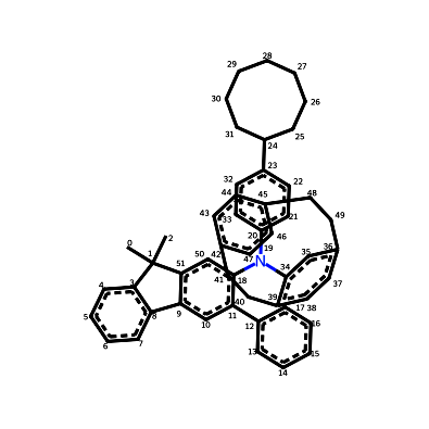 CC1(C)c2ccccc2-c2cc(-c3ccccc3)c(N(c3ccc(C4CCCCCCC4)cc3)c3cc4ccc3CCc3ccc(cc3)CC4)cc21